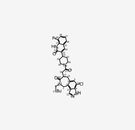 CC(C)(C)CN1Cc2c(cc(Cl)c3[nH]ncc23)CC(CC(=O)N2CCC(c3cc4cccc(F)c4[nH]c3=O)CC2)C1=O